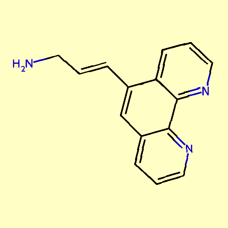 NCC=Cc1cc2cccnc2c2ncccc12